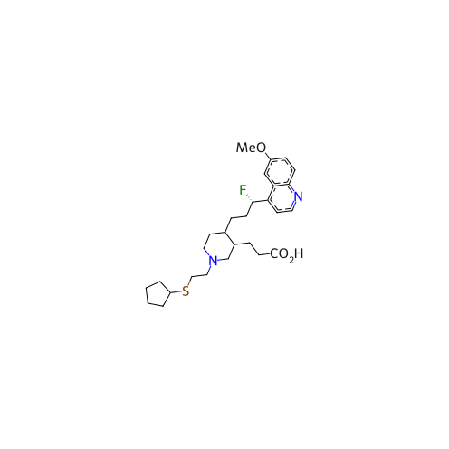 COc1ccc2nccc([C@@H](F)CCC3CCN(CCSC4CCCC4)CC3CCC(=O)O)c2c1